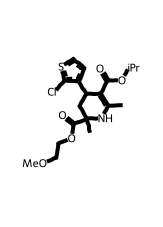 COCCOC(=O)C1(C)CC(c2ccsc2Cl)C(C(=O)OC(C)C)=C(C)N1